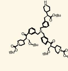 CC(C)(C)OC[C@@H](C(=O)c1cccc(CN(Cc2cccc(C[C@H](C(=O)OC(C)(C)C)C3CCNCC3)c2)Cc2cccc(C(=O)[C@H](COC(C)(C)C)C3CCN(C(=O)OC(C)(C)C)CC3)c2)c1)C1CCN(C(=O)OC(C)(C)C)CC1